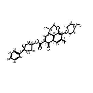 C[C@H]1COc2c(N3CCN(C)CC3)c(F)cc3c(=O)c(C(=O)OC4COC(c5ccccc5)OC4)cn1c23